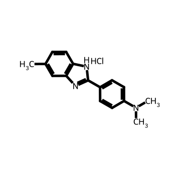 Cc1ccc2[nH]c(-c3ccc(N(C)C)cc3)nc2c1.Cl